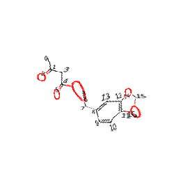 CC(=O)CC(=O)OCc1ccc2c(c1)OCO2